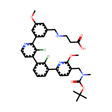 COc1cc(CNCCC(=O)O)cc(-c2nccc(-c3cccc(-c4ccc(CN(C)C(=O)OC(C)(C)C)c(OC)n4)c3Cl)c2Cl)c1